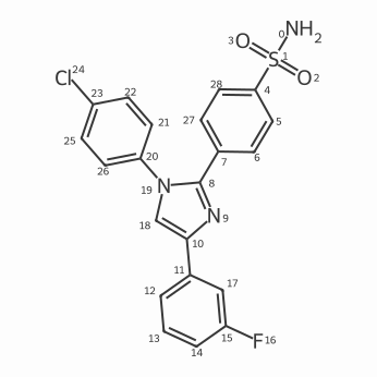 NS(=O)(=O)c1ccc(-c2nc(-c3cccc(F)c3)cn2-c2ccc(Cl)cc2)cc1